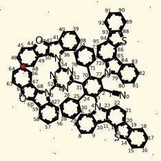 N#Cc1c(-n2c3ccccc3c3c4sc5ccccc5c4ccc32)c(-c2ccccc2)c(-c2nc(-n3c4ccccc4c4oc5ccccc5c43)nc(-n3c4ccccc4c4oc5ccccc5c43)n2)c(-c2ccccc2)c1-n1c2ccccc2c2c3sc4ccccc4c3ccc21